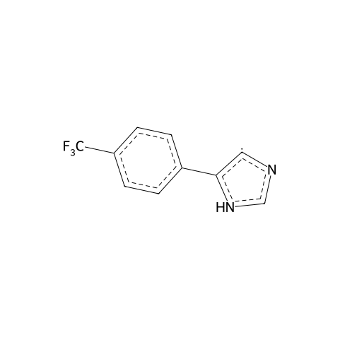 FC(F)(F)c1ccc(-c2[c]nc[nH]2)cc1